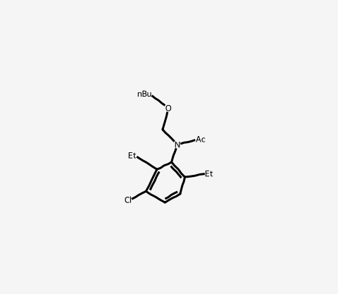 CCCCOCN(C(C)=O)c1c(CC)ccc(Cl)c1CC